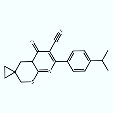 CC(C)c1ccc(C2=C(C#N)C(=O)C3CC4(CC4)CSC3=N2)cc1